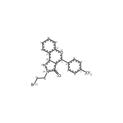 O=c1c2c(-c3ccc(C(F)(F)F)cc3)oc3ccccc3c-2nn1CCBr